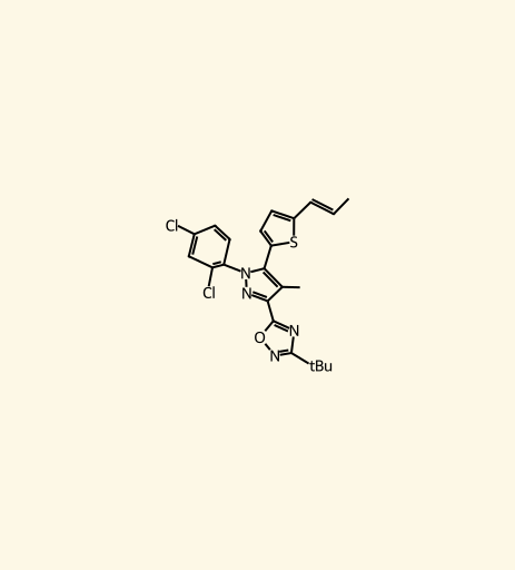 CC=Cc1ccc(-c2c(C)c(-c3nc(C(C)(C)C)no3)nn2-c2ccc(Cl)cc2Cl)s1